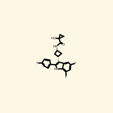 O=C(N[C@H]1C[C@@H](c2c(-c3ccc(F)cc3)[nH]c3c(F)cc(F)cc32)C1)C1(O)CC1